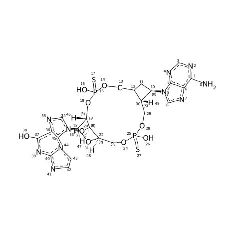 Nc1ncnc2c1ncn2[C@@H]1CC2COP(O)(=S)O[C@@H]3[C@H](O)[C@@H](COP(O)(=S)OC[C@H]21)O[C@H]3n1cnc2c(O)nc3nccn3c21